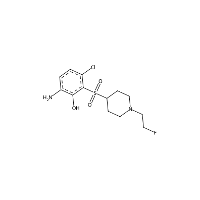 Nc1ccc(Cl)c(S(=O)(=O)C2CCN(CCF)CC2)c1O